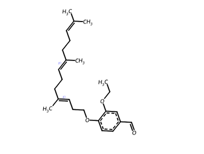 CCOc1cc(C=O)ccc1OCC/C=C(\C)CC/C=C(\C)CCC=C(C)C